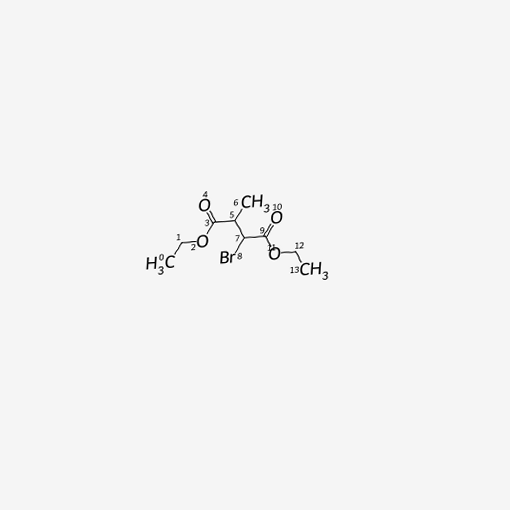 CCOC(=O)C(C)C(Br)C(=O)OCC